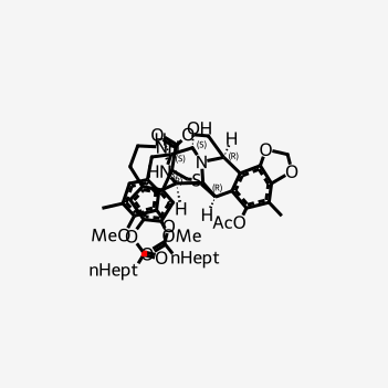 CCCCCCCC(=O)Oc1cc2c(cc1OC)[C@@]1(CS[C@@H]3c4c(OC(C)=O)c(C)c5c(c4[C@H](COC1=O)N1C3[C@@H]3N[C@@H](Cc4cc(C)c(OC)c(OC(=O)CCCCCCC)c43)[C@@H]1O)OCO5)NCC2